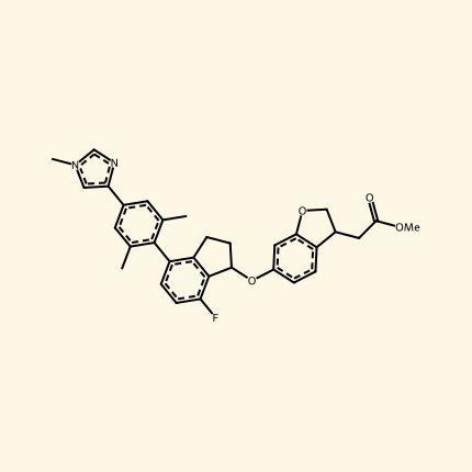 COC(=O)CC1COc2cc(OC3CCc4c(-c5c(C)cc(-c6cn(C)cn6)cc5C)ccc(F)c43)ccc21